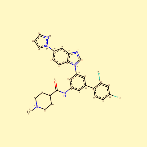 CN1CCC(C(=O)Nc2cc(-c3ccc(F)cc3F)cc(-n3cnc4cc(-n5cccn5)ccc43)c2)CC1